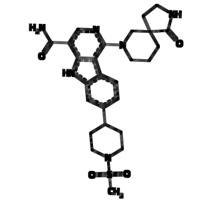 CS(=O)(=O)N1CCC(c2ccc3c(c2)[nH]c2c(C(N)=O)cnc(N4CCCC5(CCNC5=O)C4)c23)CC1